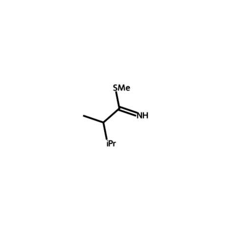 CSC(=N)C(C)C(C)C